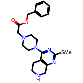 CSc1nc2c(c(N3CCN(CC(=O)OCc4ccccc4)CC3)n1)CCNC2